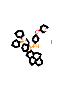 [I-].c1ccc(Oc2ccc(PP(CCC[P+](c3ccccc3)(c3ccccc3)c3ccccc3)c3ccc4ccc5cccc6ccc3c4c56)cc2)cc1